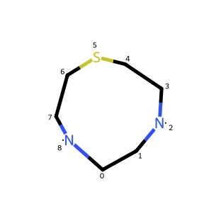 C1C[N]CCSCC[N]1